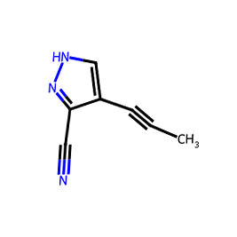 CC#Cc1c[nH]nc1C#N